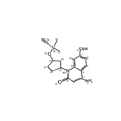 CSc1ncc2c(N)cc(=O)n(C3CCC(O[Si](C)(C)C(C)(C)C)C3)c2n1